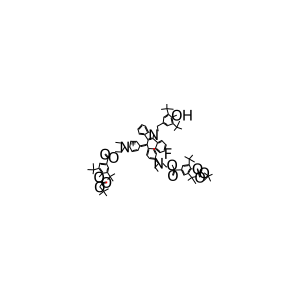 CCN(CCOC(=O)c1cc(C(C)(C)C)c(OC(=O)OC(C)(C)C)c(C(C)(C)C)c1)c1ccc(C(=C2C=CC(=[N+](CC)CCOC(=O)c3cc(C(C)(C)C)c(OC(=O)OC(C)(C)C)c(C(C)(C)C)c3)C=C2)c2c(-c3ccc(F)cc3)n(CCc3cc(C(C)(C)C)c(O)c(C(C)(C)C)c3)c3ccccc23)cc1